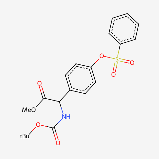 COC(=O)C(NC(=O)OC(C)(C)C)c1ccc(OS(=O)(=O)c2ccccc2)cc1